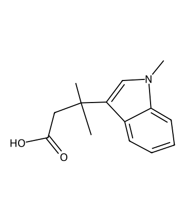 Cn1cc(C(C)(C)CC(=O)O)c2ccccc21